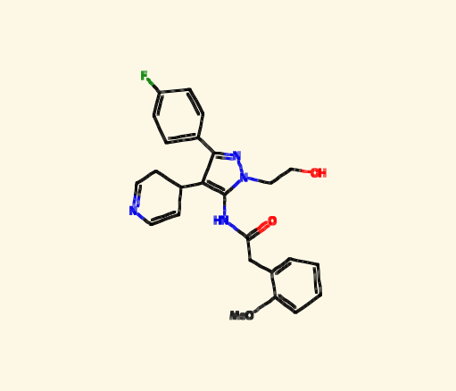 COc1ccccc1CC(=O)Nc1c(C2C=CN=CC2)c(-c2ccc(F)cc2)nn1CCO